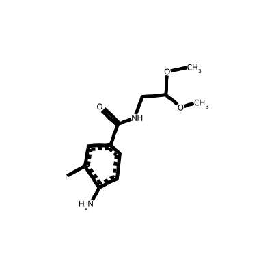 COC(CNC(=O)c1ccc(N)c(I)c1)OC